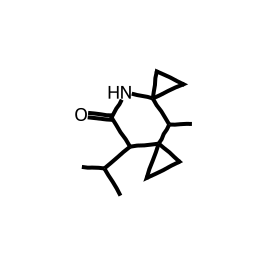 CC(C)C1C(=O)NC2(CC2)C(C)C12CC2